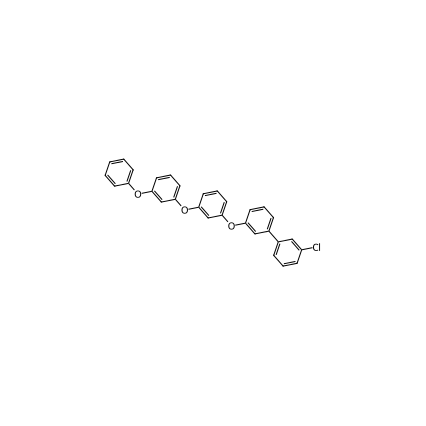 Clc1cccc(-c2cccc(Oc3cccc(Oc4cccc(Oc5ccccc5)c4)c3)c2)c1